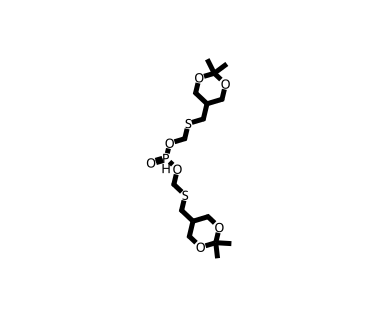 CC1(C)OCC(CSCO[PH](=O)OCSCC2COC(C)(C)OC2)CO1